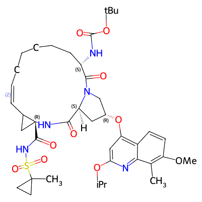 COc1ccc2c(O[C@@H]3C[C@H]4C(=O)N[C@]5(C(=O)NS(=O)(=O)C6(C)CC6)CC5/C=C\CCCCC[C@H](NC(=O)OC(C)(C)C)C(=O)N4C3)cc(OC(C)C)nc2c1C